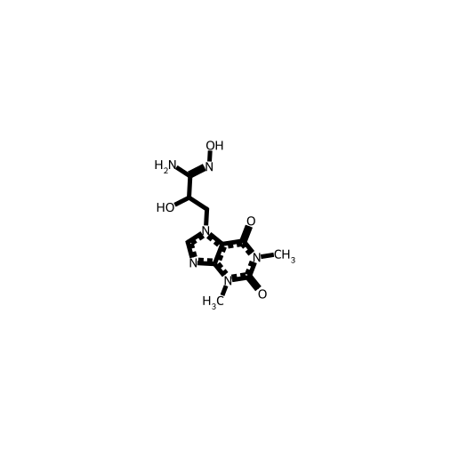 Cn1c(=O)c2c(ncn2CC(O)C(N)=NO)n(C)c1=O